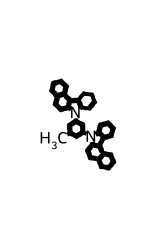 Cc1cc(-n2c3c(c4c5ccccc5ccc42)CCC=C3)cc(-n2c3ccccc3c3c4ccccc4ccc32)c1